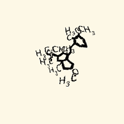 COc1cccc(CCC2=C3CC(OC)C[C@]3(C)CC([Si](C)(C)C)=C2C)c1C